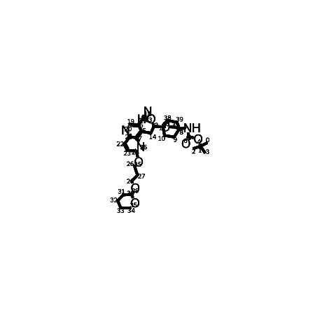 CC(C)(C)OC(=O)NC12CCC(C(O)Cc3c(C#N)cnc4ccc(OCCCOC5CCCCO5)nc34)(CC1)OC2